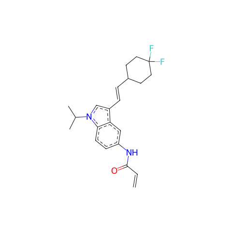 C=CC(=O)Nc1ccc2c(c1)c(C=CC1CCC(F)(F)CC1)cn2C(C)C